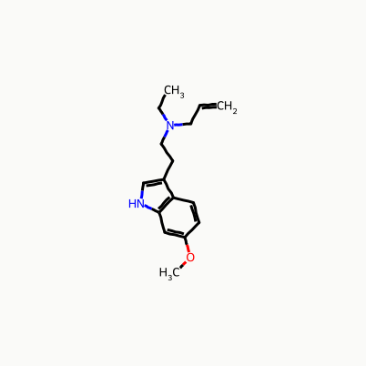 C=CCN(CC)CCc1c[nH]c2cc(OC)ccc12